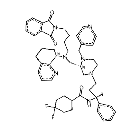 O=C(NC(I)(CCN1CCN(Cc2ccncc2)[C@@H](CN(CCCCN2C(=O)c3ccccc3C2=O)[C@H]2CCCc3cccnc32)C1)c1ccccc1)C1CCC(F)(F)CC1